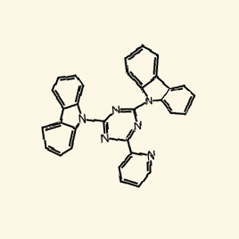 c1ccc(-c2nc(-n3c4ccccc4c4ccccc43)nc(-n3c4ccccc4c4ccccc43)n2)nc1